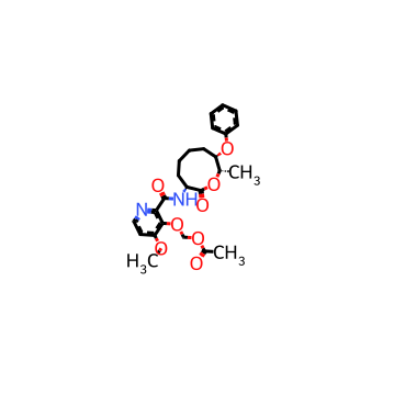 COc1ccnc(C(=O)N[C@H]2CCCC[C@@H](Oc3ccccc3)[C@H](C)OC2=O)c1OCOC(C)=O